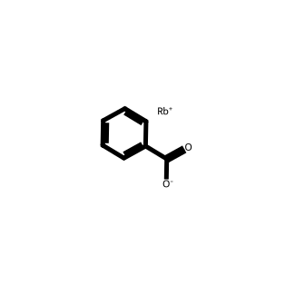 O=C([O-])c1ccccc1.[Rb+]